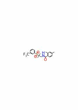 Cc1ccc(C(=O)NCC(C)(C)S(=O)(=O)c2cccc(C(F)(F)F)c2)c(C)c1